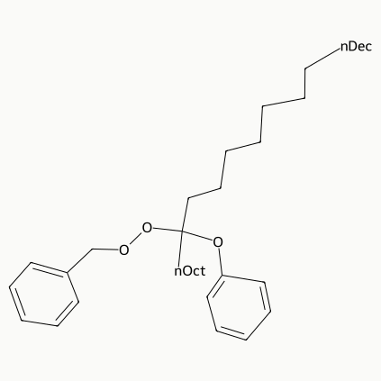 CCCCCCCCCCCCCCCCCC(CCCCCCCC)(OOCc1ccccc1)Oc1ccccc1